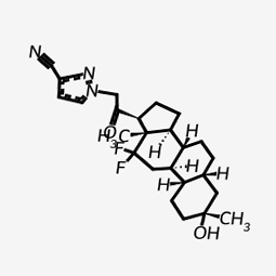 C[C@@]1(O)CC[C@H]2[C@H](CC[C@@H]3[C@@H]2CC(F)(F)[C@]2(C)[C@@H](C(=O)Cn4ccc(C#N)n4)CC[C@@H]32)C1